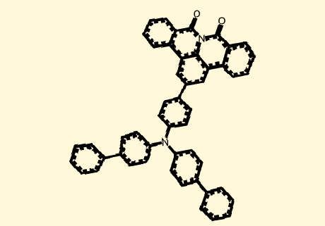 O=c1c2ccccc2c2cc(-c3ccc(N(c4ccc(-c5ccccc5)cc4)c4ccc(-c5ccccc5)cc4)cc3)cc3c4ccccc4c(=O)n1c23